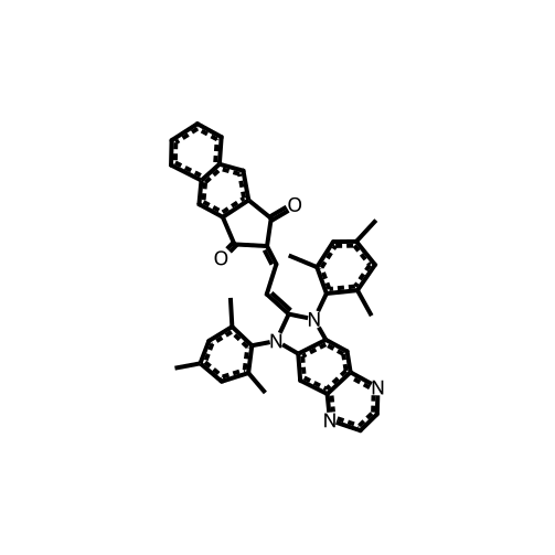 Cc1cc(C)c(N2C(=CC=C3C(=O)c4cc5ccccc5cc4C3=O)N(c3c(C)cc(C)cc3C)c3cc4nccnc4cc32)c(C)c1